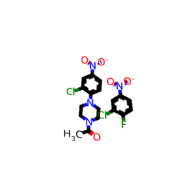 CC(=O)N1CCN(c2ccc([N+](=O)[O-])cc2Cl)CC1.O=[N+]([O-])c1ccc(F)c(Cl)c1